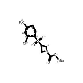 CC(C)(C)OC(=O)N1CC(S(=O)(=O)c2ccc(C(F)(F)F)cc2Cl)C1